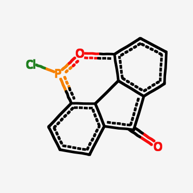 O=c1c2cccc3op(Cl)c4cccc1c4-c32